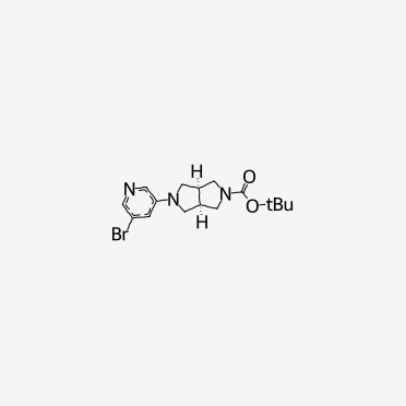 CC(C)(C)OC(=O)N1C[C@@H]2CN(c3cncc(Br)c3)C[C@@H]2C1